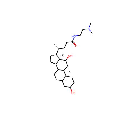 C[C@H](CCC(=O)NCCN(C)C)[C@H]1CCC2C3CCC4C[C@H](O)CC[C@]4(C)C3C[C@H](O)[C@@]21C